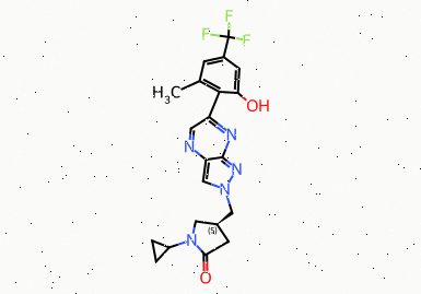 Cc1cc(C(F)(F)F)cc(O)c1-c1cnc2cn(C[C@H]3CC(=O)N(C4CC4)C3)nc2n1